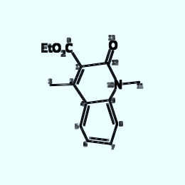 CCOC(=O)c1c(C)c2ccccc2n(C)c1=O